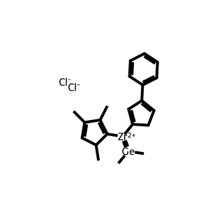 CC1=CC(C)[C]([Zr+2]([C]2=CC(c3ccccc3)=CC2)=[Ge]([CH3])[CH3])=C1C.[Cl-].[Cl-]